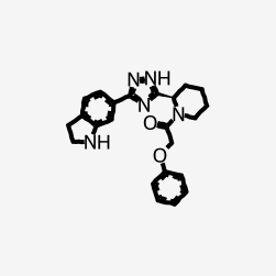 O=C(COc1ccccc1)N1CCCC[C@@H]1c1nc(-c2ccc3c(c2)NCC3)n[nH]1